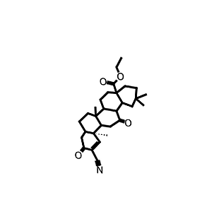 CCOC(=O)C12CCC3C(C(=O)CC4C3(C)CCC3CC(=O)C(C#N)=C[C@@]34C)C1CC(C)(C)CC2